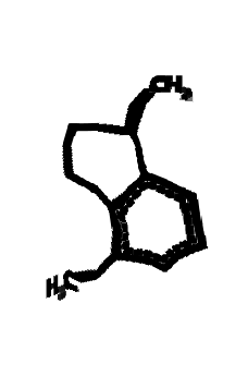 C=C1CCc2c(C)cccc21